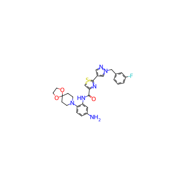 Nc1ccc(N2CCC3(CC2)OCCO3)c(NC(=O)c2csc(-c3cnn(Cc4cccc(F)c4)c3)n2)c1